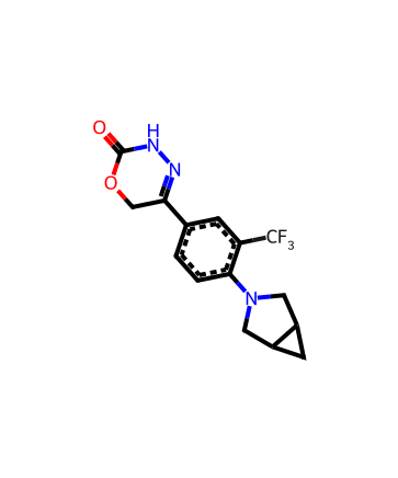 O=C1NN=C(c2ccc(N3CC4CC4C3)c(C(F)(F)F)c2)CO1